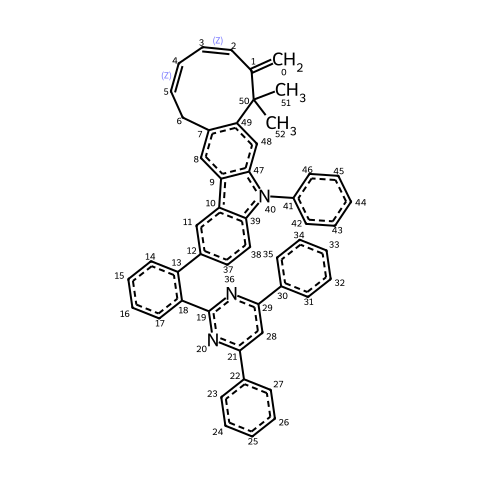 C=C1/C=C\C=C/Cc2cc3c4cc(-c5ccccc5-c5nc(-c6ccccc6)cc(-c6ccccc6)n5)ccc4n(-c4ccccc4)c3cc2C1(C)C